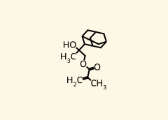 C=C(C)C(=O)OCC(C)(O)C1C2CC3CC(C2)CC1C3